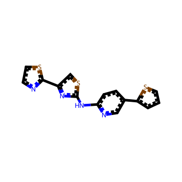 c1csc(-c2ccc(Nc3nc(-c4nccs4)cs3)nc2)c1